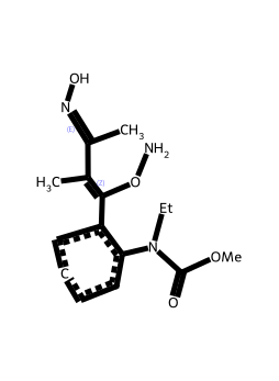 CCN(C(=O)OC)c1ccccc1/C(ON)=C(C)/C(C)=N/O